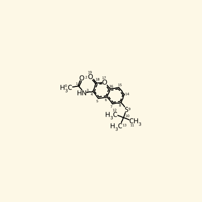 CC(=O)Nc1cc2cc(SC(C)(C)C)ccc2oc1=O